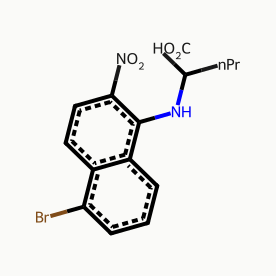 CCCC(Nc1c([N+](=O)[O-])ccc2c(Br)cccc12)C(=O)O